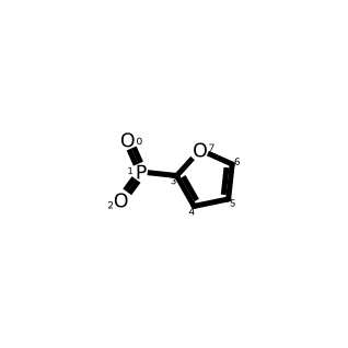 O=P(=O)c1ccco1